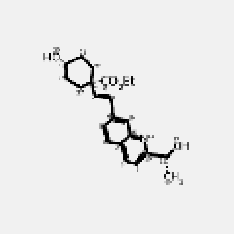 CCOC(=O)[C@]1(/C=C/c2ccc3ccc([C@@H](C)O)nc3c2)CC[C@H](O)CC1